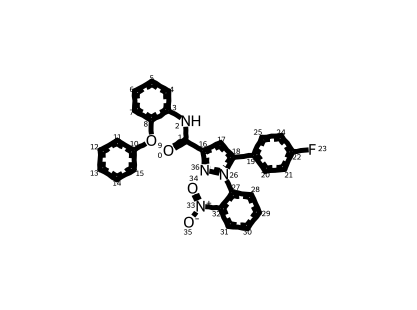 O=C(Nc1ccccc1Oc1ccccc1)c1cc(-c2ccc(F)cc2)n(-c2ccccc2[N+](=O)[O-])n1